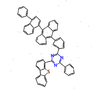 c1ccc(-c2nc(-c3cccc(-c4c5ccccc5c(-c5ccc(-c6ccccc6)c6ccccc56)c5ccccc45)c3)nc(-c3cccc4c3sc3ccccc34)n2)cc1